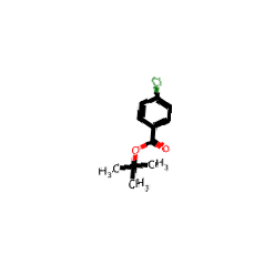 CC(C)(C)OC(=O)c1ccc(Cl)cc1